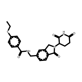 CCSc1ccc(C(=O)NCc2ccc3c(c2)CN(C2CCC(=O)NC2=O)C3=O)cc1